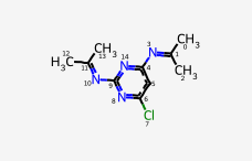 CC(C)=Nc1cc(Cl)nc(N=C(C)C)n1